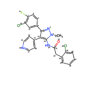 Cn1nc(-c2ccc(F)c(Cl)c2)c(-c2ccncc2)c1NC(=O)Cc1ccccc1Cl